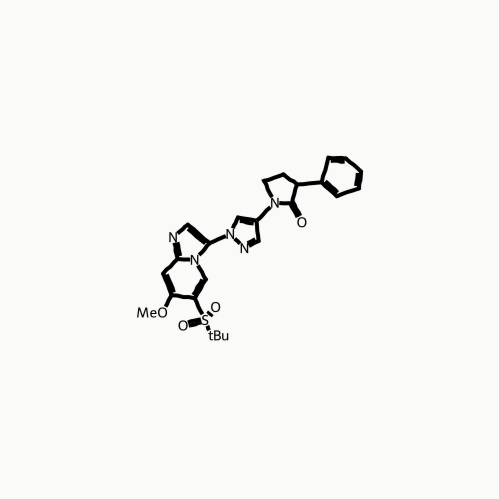 COc1cc2ncc(-n3cc(N4CCC(c5ccccc5)C4=O)cn3)n2cc1S(=O)(=O)C(C)(C)C